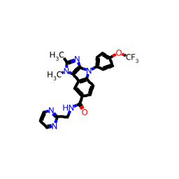 Cc1nc2c(c3cc(C(=O)NCc4ncccn4)ccc3n2-c2ccc(OC(F)(F)F)cc2)n1C